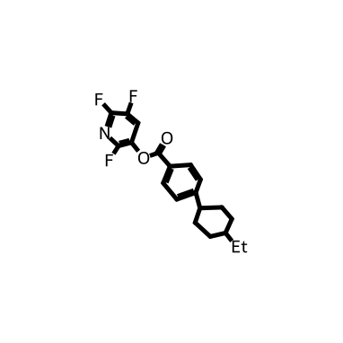 CCC1CCC(c2ccc(C(=O)Oc3cc(F)c(F)nc3F)cc2)CC1